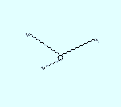 CCCCCCCCCCCCCCCCc1cc[n+](CCCCCCC)cc1CCCCCCCCCCCCCCCC